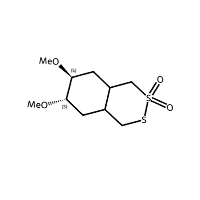 CO[C@H]1CC2CSS(=O)(=O)CC2C[C@@H]1OC